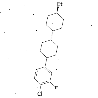 CC[C@H]1CC[C@H](C2CCC(c3ccc(Cl)c(F)c3)CC2)CC1